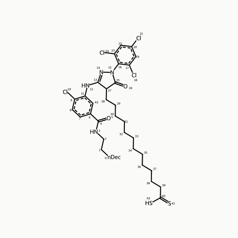 CCCCCCCCCCCCNC(=O)c1ccc(Cl)c(NC2=NN(c3c(Cl)cc(Cl)cc3Cl)C(=O)C2CCCCCCCCCCCCC(=S)S)c1